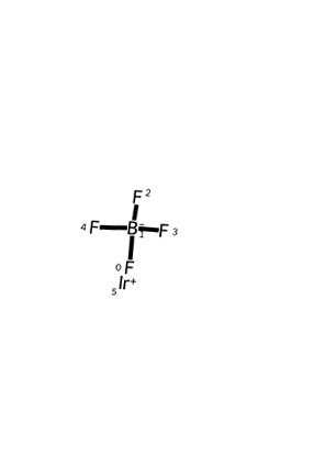 F[B-](F)(F)F.[Ir+]